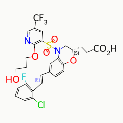 O=C(O)CC[C@H]1CN(S(=O)(=O)c2cc(C(F)(F)F)cnc2OCCCO)c2cc(/C=C/c3c(F)cccc3Cl)ccc2O1